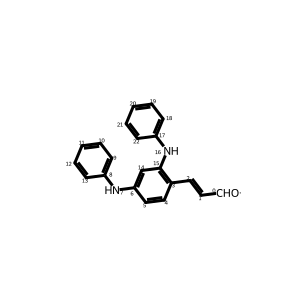 O=[C]C=Cc1ccc(Nc2ccccc2)cc1Nc1ccccc1